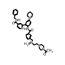 CC(=O)N1CCN(CCN(C)Cc2cccc(C(=O)Nc3ccc(N4CCCCC4)cc3-c3cc(C(=O)NCc4ccccc4)ccn3)c2)CC1